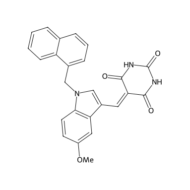 COc1ccc2c(c1)c(C=C1C(=O)NC(=O)NC1=O)cn2Cc1cccc2ccccc12